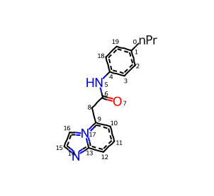 CCCc1ccc(NC(=O)Cc2cccc3nccn23)cc1